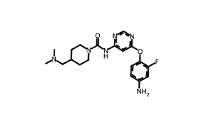 CN(C)CC1CCN(C(=O)Nc2cc(Oc3ccc(N)cc3F)ncn2)CC1